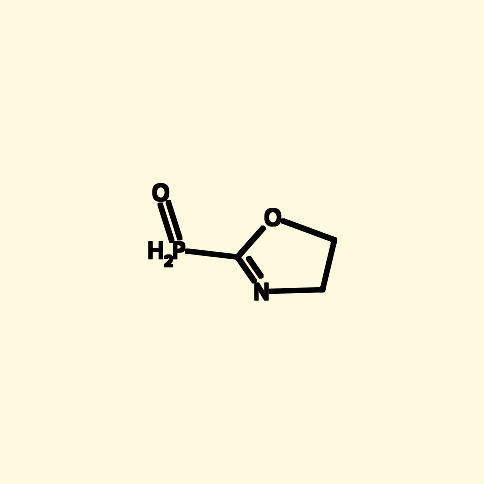 O=[PH2]C1=NCCO1